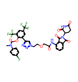 CN(C(=O)Oc1c(-c2cn(CCOCC(=O)Nc3cccc4c3C(=O)N(C3CCC(=O)NC3=O)C4=O)nn2)cc(C(F)(F)F)cc1C(F)(F)F)c1ccc(F)cc1